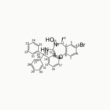 C[C@H]1c2cc(Br)ccc2OC=C(NC(c2ccccc2)(c2ccccc2)c2ccccc2)N1O